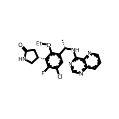 CCOc1c([C@H](C)Nc2ncnc3cccnc23)cc(Cl)c(F)c1[C@@H]1CNC(=O)C1